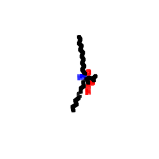 CCCCCCCCCCCC(=O)N[C@@](CCCCCCCCCC)(CC(C)C)C(=O)O